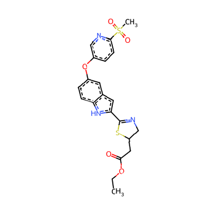 CCOC(=O)CC1CN=C(c2cc3cc(Oc4ccc(S(C)(=O)=O)nc4)ccc3[nH]2)S1